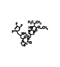 CCOC(=O)C(Nc1ncc(CNC(=O)[C@@H]2SCCN2C(=O)CC(N)Cc2cc(F)c(F)cc2F)cn1)C(C)C